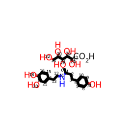 CC(CCc1ccc(O)cc1)NCCc1ccc(O)c(O)c1.O=C(O)[C@H](O)[C@@H](O)[C@H](O)[C@H](O)CO